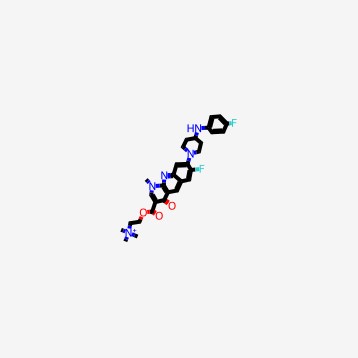 Cn1cc(C(=O)OCC[N+](C)(C)C)c(=O)c2cc3cc(F)c(N4CCC(Nc5ccc(F)cc5)CC4)cc3nc21